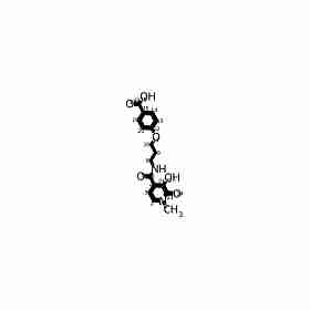 Cn1ccc(C(=O)NCCCOc2ccc(C(=O)O)cc2)c(O)c1=O